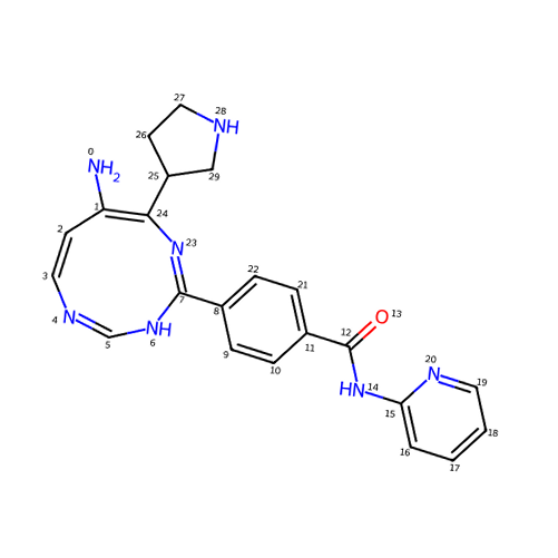 Nc1ccnc[nH]c(-c2ccc(C(=O)Nc3ccccn3)cc2)nc1C1CCNC1